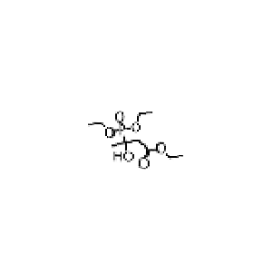 CCOC(=O)CC(C)(O)P(=O)(OCC)OCC